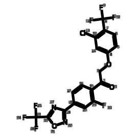 O=C(COc1ccc(C(F)(F)F)c(Cl)c1)c1ccc(-c2noc(C(F)(F)F)n2)cc1F